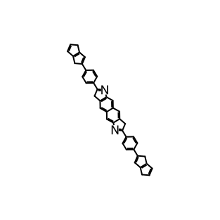 C1=CC2=C(C=C(c3ccc(C4=Nc5cc6cc7c(cc6cc5C4)N=C(c4ccc(C5=CC6=C(C=CC6)C5)cc4)C7)cc3)C2)C1